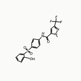 Cn1nc(C(F)(F)F)cc1C(=O)Nc1ccc(S(=O)(=O)c2ccccc2O)cc1